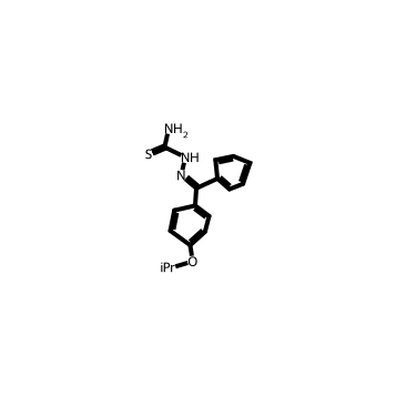 CC(C)Oc1ccc(C(=NNC(N)=S)c2ccccc2)cc1